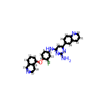 Nc1nc(Nc2ccc(Oc3cccc4cnccc34)c(F)c2)cc(-c2ccc3ncccc3c2)n1